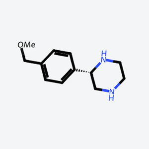 COCc1ccc([C@H]2CNCCN2)cc1